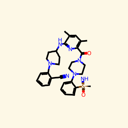 Cc1cc(C)c(C(=O)N2CCN(c3ccccc3[S@](C)(=N)=O)CC2)nc1NC1CCN(c2ccccc2C#N)CC1